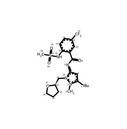 Cn1c(C(C)(C)C)c/c(=N\C(=O)c2cc(C(F)(F)F)ccc2NS(C)(=O)=O)n1C[C@H]1CCCO1